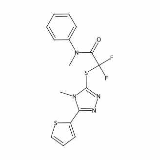 CN(C(=O)C(F)(F)Sc1nnc(-c2cccs2)n1C)c1ccccc1